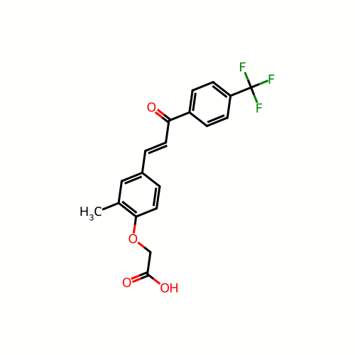 Cc1cc(/C=C/C(=O)c2ccc(C(F)(F)F)cc2)ccc1OCC(=O)O